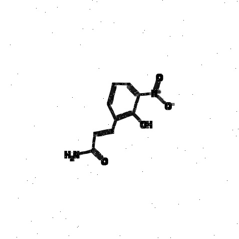 NC(=O)/C=C/c1cccc([N+](=O)[O-])c1O